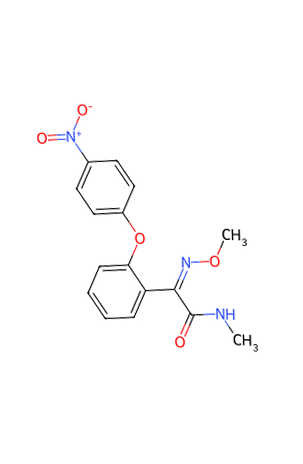 CNC(=O)C(=NOC)c1ccccc1Oc1ccc([N+](=O)[O-])cc1